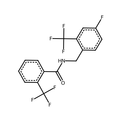 O=C(NCc1ccc(F)cc1C(F)(F)F)c1ccccc1C(F)(F)F